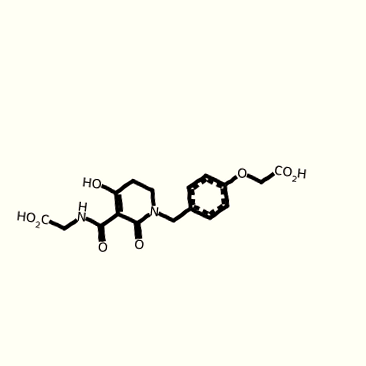 O=C(O)CNC(=O)C1=C(O)CCN(Cc2ccc(OCC(=O)O)cc2)C1=O